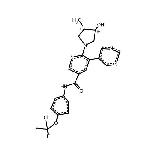 C[C@H]1CN(c2ncc(C(=O)Nc3ccc(OC(F)(F)Cl)cc3)cc2-c2cncnc2)C[C@@H]1O